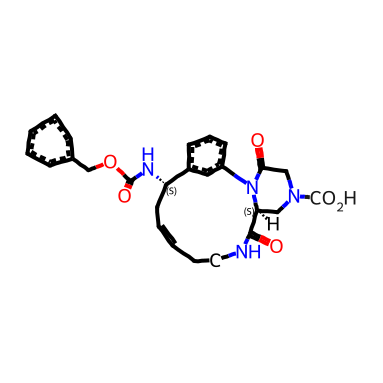 O=C(N[C@H]1CC=CCCNC(=O)[C@@H]2CN(C(=O)O)CC(=O)N2c2cccc1c2)OCc1ccccc1